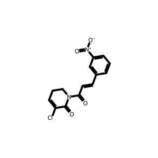 O=C(C=Cc1cccc([N+](=O)[O-])c1)N1CCC=C(Cl)C1=O